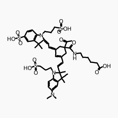 CC(=O)C1(C(=O)NCCCCCC(=O)O)CC(/C=C/C2(C)N(CCCS(=O)(=O)O)c3ccc(N(C)C)cc3C2(C)C)=CC(=C/C=C2/N(CCCS(=O)(=O)O)c3ccc(S(=O)(=O)O)cc3C2(C)C)/C1